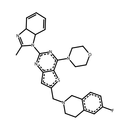 CC1=NC2C=CC=CC2N1c1nc(N2CCOCC2)c2sc(CN3CCc4cc(F)ccc4C3)cc2n1